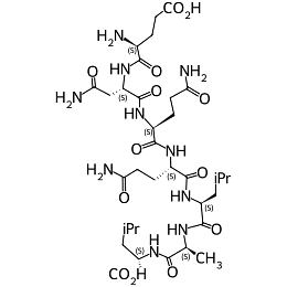 CC(C)C[C@H](NC(=O)[C@H](C)NC(=O)[C@H](CC(C)C)NC(=O)[C@H](CCC(N)=O)NC(=O)[C@H](CCC(N)=O)NC(=O)[C@H](CC(N)=O)NC(=O)[C@@H](N)CCC(=O)O)C(=O)O